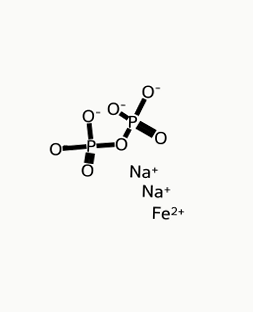 O=P([O-])([O-])OP(=O)([O-])[O-].[Fe+2].[Na+].[Na+]